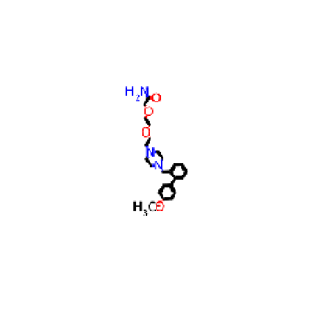 COc1ccc(-c2ccccc2CN2CCN(CCOCCOCC(N)=O)CC2)cc1